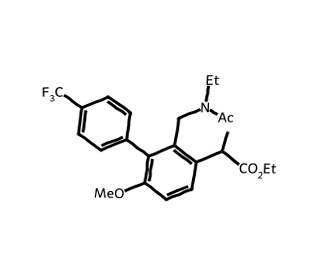 CCOC(=O)C(C)c1ccc(OC)c(-c2ccc(C(F)(F)F)cc2)c1CN(CC)C(C)=O